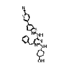 N#Cc1ccc(-c2ccc3nc(Nc4cc(Cc5ccccc5)nc(NC5CCC(O)CC5)n4)sc3c2)cn1